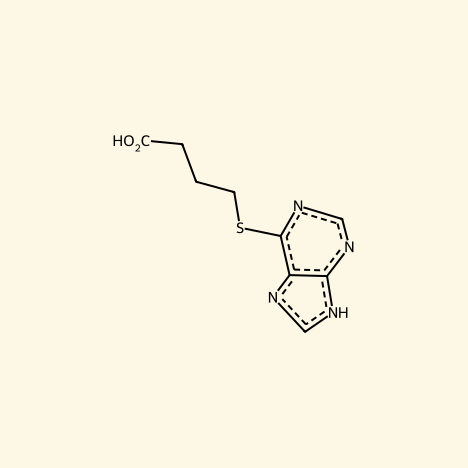 O=C(O)CCCSc1ncnc2[nH]cnc12